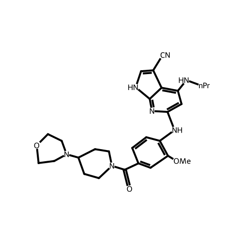 CCCNc1cc(Nc2ccc(C(=O)N3CCC(N4CCOCC4)CC3)cc2OC)nc2[nH]cc(C#N)c12